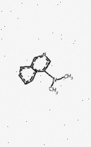 CN(C)c1cncc2ccccc12